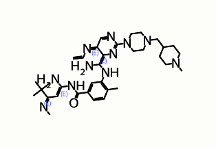 C=C/N=C1/C=NC(N2CCN(CC3CCN(C)CC3)CC2)=N/C1=C(/N)Nc1cc(C(=O)N/C(N)=C/C(=N\C)C(C)(C)C)ccc1C